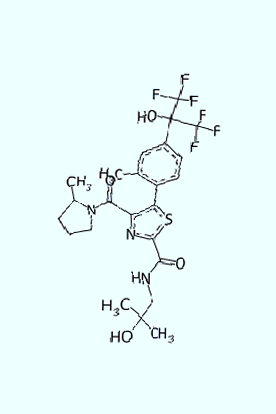 Cc1cc(C(O)(C(F)(F)F)C(F)(F)F)ccc1-c1sc(C(=O)NCC(C)(C)O)nc1C(=O)N1CCCC1C